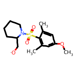 COc1cc(C)c(S(=O)(=O)N2CCCCC2C[O])c(C)c1